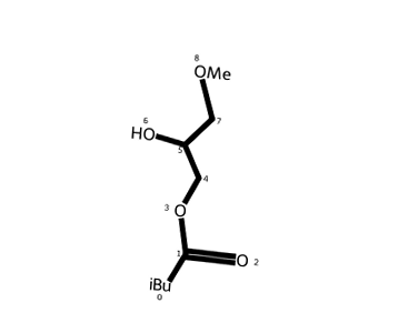 CCC(C)C(=O)OCC(O)COC